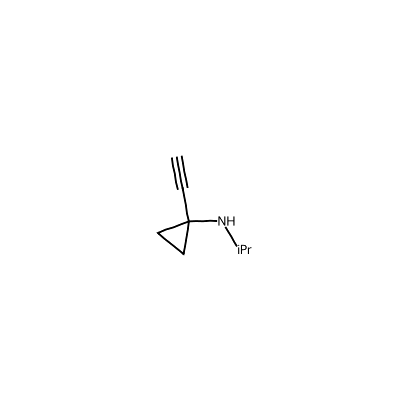 C#CC1(NC(C)C)CC1